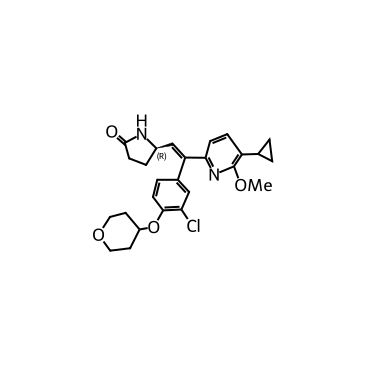 COc1nc(C(=C[C@H]2CCC(=O)N2)c2ccc(OC3CCOCC3)c(Cl)c2)ccc1C1CC1